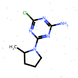 CC1CCCN1c1nc(N)nc(Cl)n1